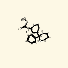 CC(C)(C)OC(=O)NC1CCC[C](C2(c3ccccc3)SCCCS2)C1